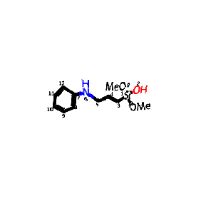 CO[Si](O)(CCCNc1ccccc1)OC